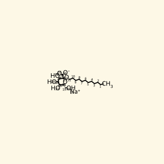 CCCCCCCCCCCCOC1(C(=O)[O-])O[C@H](CO)[C@@H](O)[C@H](O)[C@H]1O.[Na+]